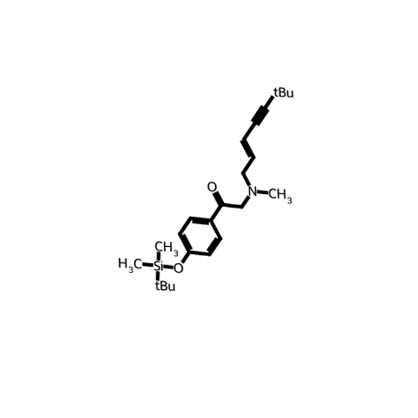 CN(C/C=C/C#CC(C)(C)C)CC(=O)c1ccc(O[Si](C)(C)C(C)(C)C)cc1